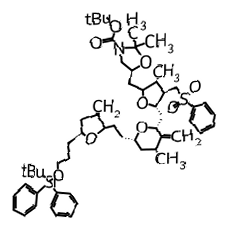 C=C1C[C@H](CCCO[Si](c2ccccc2)(c2ccccc2)C(C)(C)C)OC1CC[C@H]1C[C@@H](C)C(=C)[C@@H](C[C@@H]2OC(C[C@H]3CN(C(=O)OC(C)(C)C)C(C)(C)O3)[C@H](C)[C@H]2CS(=O)(=O)c2ccccc2)O1